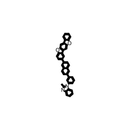 Cc1nc2ccccc2n1-c1cccc(-c2ccc3cc(-c4ccc5oc6cc7c(cc6c5c4)oc4ccccc47)ccc3c2)c1